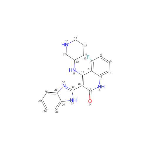 O=c1[nH]c2cccc(F)c2c(NC2CCCNC2)c1-c1nc2ccccc2[nH]1